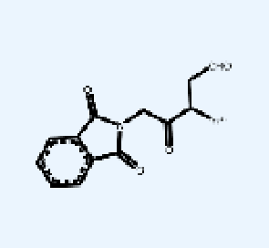 CCCC(CC=O)C(=O)CN1C(=O)c2ccccc2C1=O